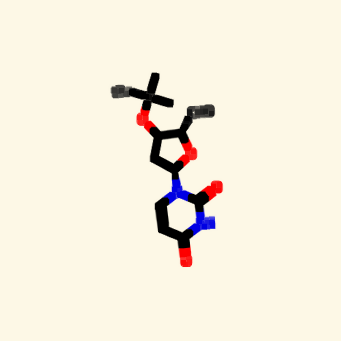 CC(C)(C)[Si](C)(C)OC1C[C@H](n2ccc(=O)[nH]c2=O)O[C@@H]1C=O